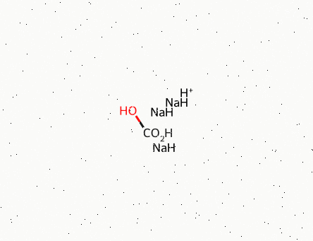 O=C(O)O.[H+].[NaH].[NaH].[NaH]